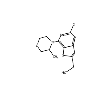 CC1COCCN1c1nc(Cl)nc2cc(CO)sc12